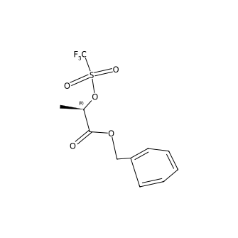 C[C@@H](OS(=O)(=O)C(F)(F)F)C(=O)OCc1ccccc1